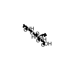 CC(C)CC(=O)NCCOCCC(=O)N[C@@H](CSCC(C)(C)C)C(=O)NCCC(=O)O